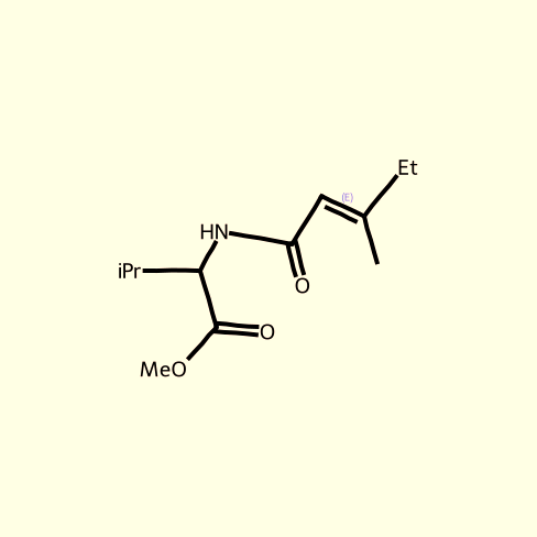 CC/C(C)=C/C(=O)NC(C(=O)OC)C(C)C